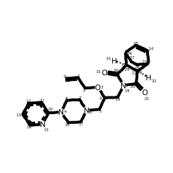 C=CCOC(CN1CCN(c2ccccn2)CC1)CN1C(=O)[C@@H]2C3C=CC(CC3)[C@@H]2C1=O